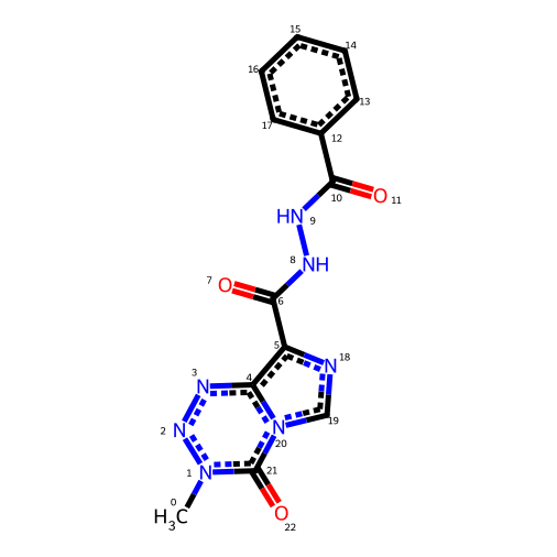 Cn1nnc2c(C(=O)NNC(=O)c3ccccc3)ncn2c1=O